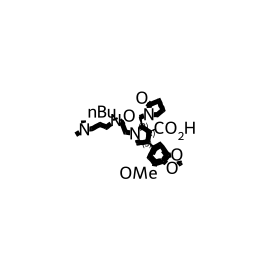 CCCCN(CCCN(C)C)C(=O)CN1C[C@H](c2cc(OC)c3c(c2)OCO3)[C@@H](C(=O)O)[C@@H]1CN1CCCC1=O